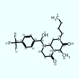 CCCCN1CC2N(C(O)c3ccc(C(F)(F)F)cc3)CCC(=O)N2C(C)C1=O